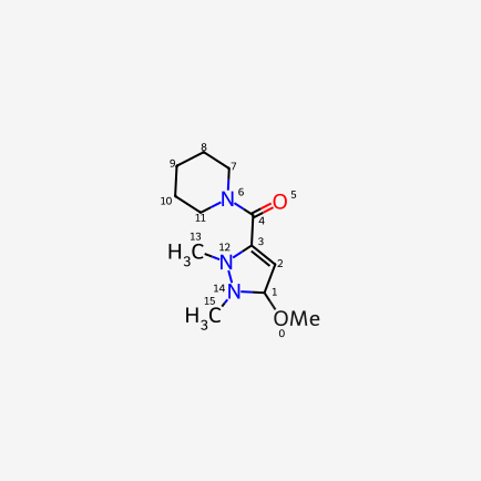 COC1C=C(C(=O)N2CCCCC2)N(C)N1C